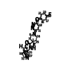 CC1(NC(=O)C2(F)CCN(c3ccc(Oc4ccc(F)cc4)nn3)CC2)CCN2CCC1CC2